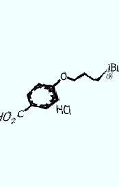 CC[C@H](C)CCCOc1ccc(C(=O)O)cc1.Cl